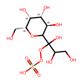 O=S(=O)(O)OOC(O)(C(O)CO)C1O[C@H](CO)[C@H](O)[C@H](O)[C@H]1O